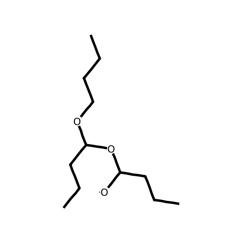 CCCCOC(CCC)OC([O])CCC